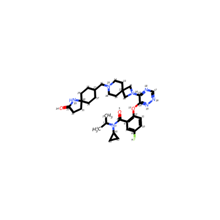 CC(C)N(C(=O)c1cc(F)ccc1Oc1nncnc1N1CC2(CCN(CC3CCC4(CCC(=O)N4)CC3)CC2)C1)C1CC1